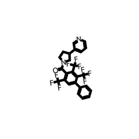 O=C(c1c(C(F)(F)F)cc(-c2ccccc2)c(C(F)(F)F)c1C(F)(F)F)N1CCC(c2cccnc2)C1